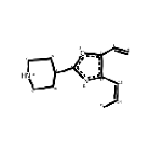 C=Cc1oc(C2CCNCC2)nc1/C=C\C